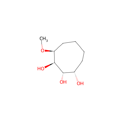 CO[C@H]1CCCC[C@H](O)[C@H](O)[C@H]1O